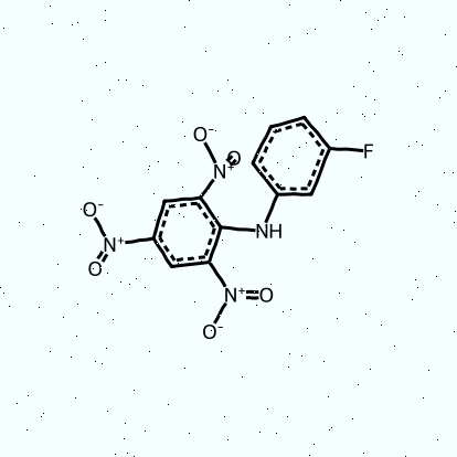 O=[N+]([O-])c1cc([N+](=O)[O-])c(Nc2cccc(F)c2)c([N+](=O)[O-])c1